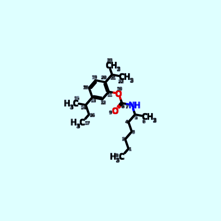 CCCCCC(C)NC(=O)Oc1cc(C(C)CC)ccc1C(C)C